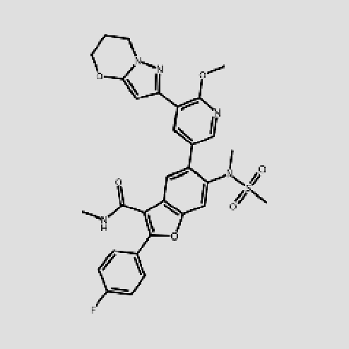 CNC(=O)c1c(-c2ccc(F)cc2)oc2cc(N(C)S(C)(=O)=O)c(-c3cnc(OC)c(-c4cc5n(n4)CCCO5)c3)cc12